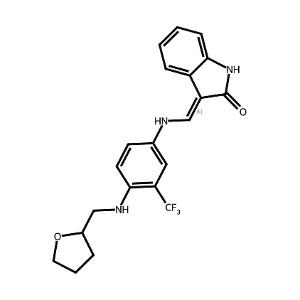 O=C1Nc2ccccc2/C1=C\Nc1ccc(NCC2CCCO2)c(C(F)(F)F)c1